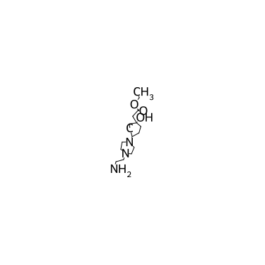 CCOC(=O)CC1(O)CCC(N2CCN(CCN)CC2)CC1